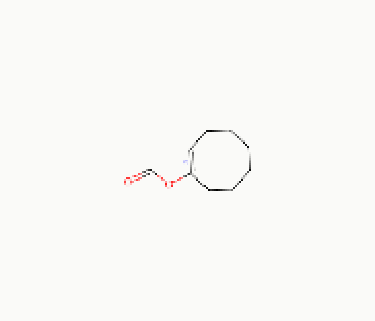 O=[C]O/C1=C/CCCCCC1